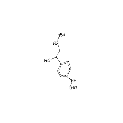 CC(C)(C)NCC(O)c1ccc(NC=O)cc1